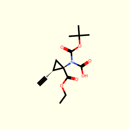 C#C[C@@H]1C[C@@]1(C(=O)OCC)N(C(=O)O)C(=O)OC(C)(C)C